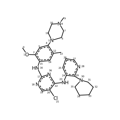 COc1cc(N2CCN(C)CC2)c(C)cc1Nc1ncc(Cl)c(Nc2cccnc2N2CCCCC2)n1